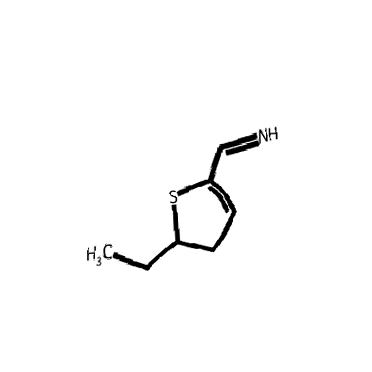 CCC1CC=C(C=N)S1